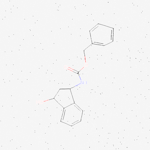 O=C(NC1CC(O)c2ccccc21)OCc1ccccc1